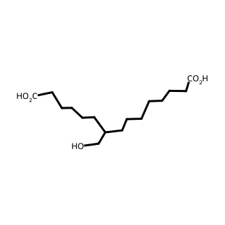 O=C(O)CCCCCCCC(CO)CCCCCC(=O)O